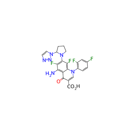 Nc1c(F)c(N2CCCC2n2ccnn2)c(F)c2c1c(=O)c(C(=O)O)cn2-c1ccc(F)cc1F